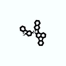 c1ccc2c(c1)-c1cccc3c1c-2cc1c3c2cc3ccccc3cc2n1-c1ccc2sc3ccccc3c2c1